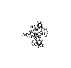 CCOC(=O)C[C@H](c1ccccc1)n1c(=O)n(C(C)c2c[nH]c3cccc(C)c23)c2ccc(C#N)nc21